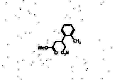 COC(=O)CC(C[N+](=O)[O-])c1ccccc1C